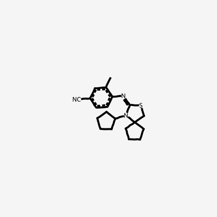 Cc1cc(C#N)ccc1/N=C1/SCC2(CCCC2)N1C1CCCC1